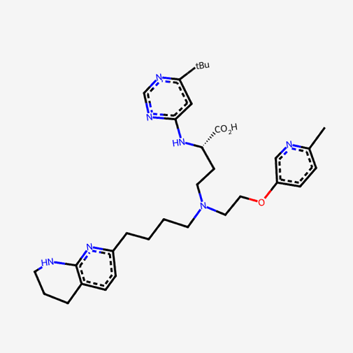 Cc1ccc(OCCN(CCCCc2ccc3c(n2)NCCC3)CC[C@H](Nc2cc(C(C)(C)C)ncn2)C(=O)O)cn1